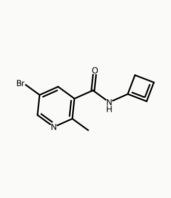 Cc1ncc(Br)cc1C(=O)NC1=C=CC1